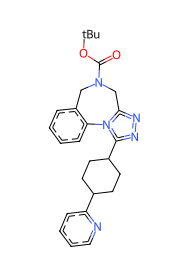 CC(C)(C)OC(=O)N1Cc2ccccc2-n2c(nnc2C2CCC(c3ccccn3)CC2)C1